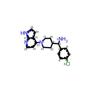 NC(c1ccc(Cl)cc1)C1CCN(c2ccnc3[nH]ccc23)CC1